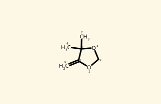 C=C1OCOC1(C)C